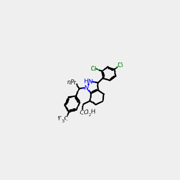 CCCC(c1ccc(C(F)(F)F)cc1)N1NC(c2ccc(Cl)cc2Cl)C2=C1C(CC(=O)O)CCC2